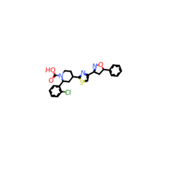 O=C(O)N1CCC(c2nc(C3=NOC(c4ccccc4)C3)cs2)CC1c1ccccc1Cl